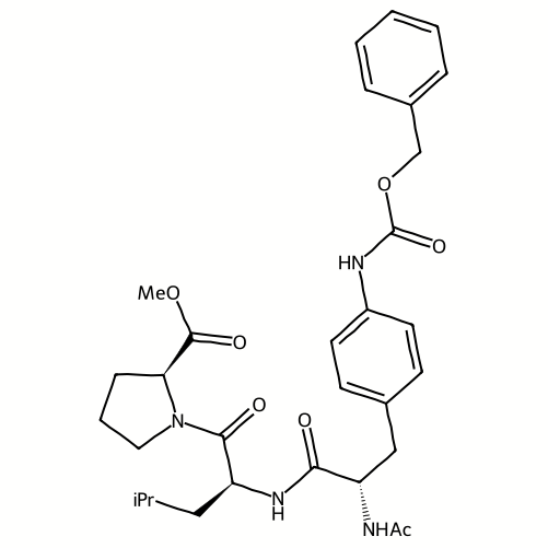 COC(=O)[C@@H]1CCCN1C(=O)[C@H](CC(C)C)NC(=O)[C@H](Cc1ccc(NC(=O)OCc2ccccc2)cc1)NC(C)=O